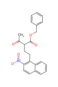 CC(=O)C(CCc1c([N+](=O)[O-])ccc2ccccc12)C(=O)OCc1ccccc1